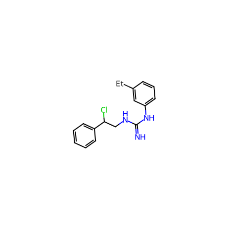 CCc1cccc(NC(=N)NCC(Cl)c2ccccc2)c1